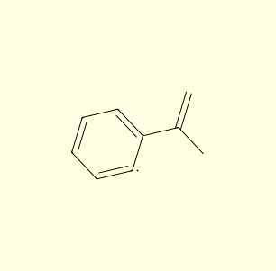 C=C(C)c1[c]cccc1